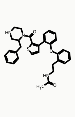 CC(=O)NCCc1ccccc1Oc1ccccc1-c1ccsc1C(=O)N1CCNCC1Cc1ccccc1